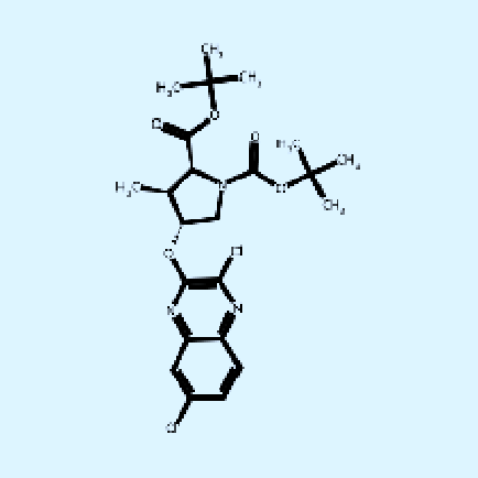 C[C@@H]1[C@@H](Oc2nc3cc(Cl)ccc3nc2Cl)CN(C(=O)OC(C)(C)C)[C@@H]1C(=O)OC(C)(C)C